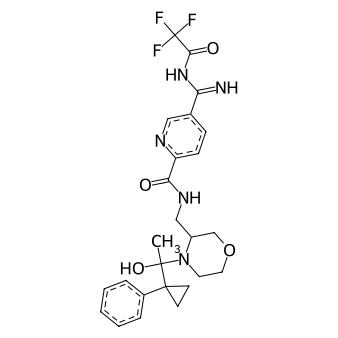 CC(O)(N1CCOCC1CNC(=O)c1ccc(C(=N)NC(=O)C(F)(F)F)cn1)C1(c2ccccc2)CC1